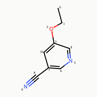 CCOc1[c]ncc(C#N)c1